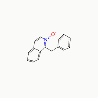 [O-][n+]1ccc2ccccc2c1Cc1ccccc1